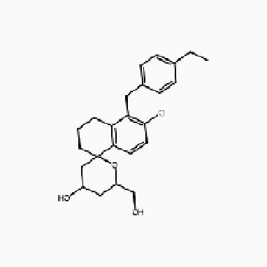 CCc1ccc(Cc2c(Cl)ccc3c2CCCC32CC(O)CC(CO)O2)cc1